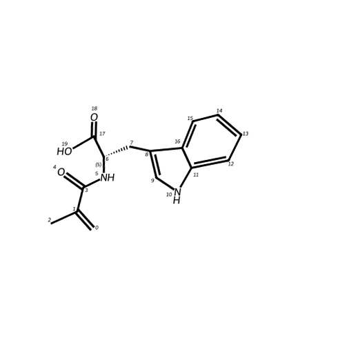 C=C(C)C(=O)N[C@@H](Cc1c[nH]c2ccccc12)C(=O)O